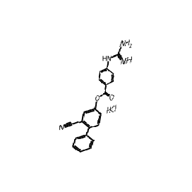 Cl.N#Cc1cc(OC(=O)c2ccc(NC(=N)N)cc2)ccc1-c1ccccc1